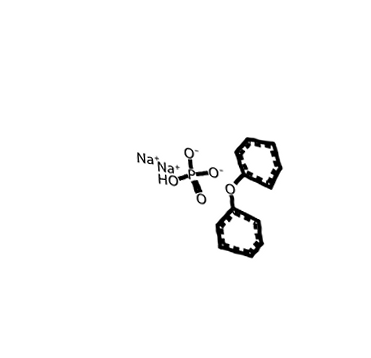 O=P([O-])([O-])O.[Na+].[Na+].c1ccc(Oc2ccccc2)cc1